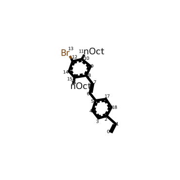 C=Cc1ccc(/C=C/c2cc(CCCCCCCC)c(Br)cc2CCCCCCCC)cc1